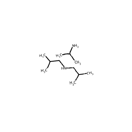 CC(C)CNCC(C)C.CC(C)N